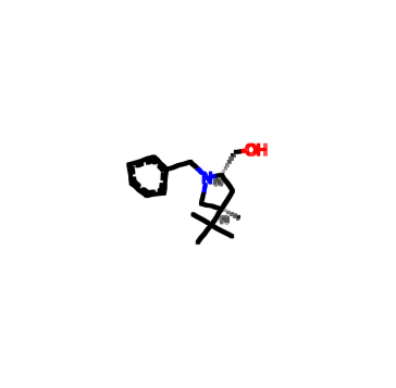 CC(C)(C)[C@]1(C)C[C@@H](CO)N(Cc2ccccc2)C1